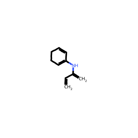 C=CC(=C)NC1=CCCC=C1